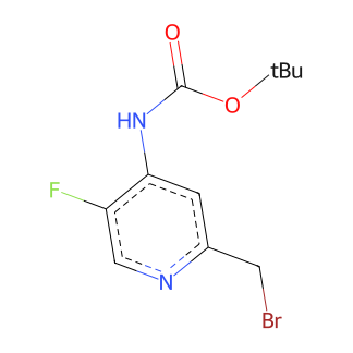 CC(C)(C)OC(=O)Nc1cc(CBr)ncc1F